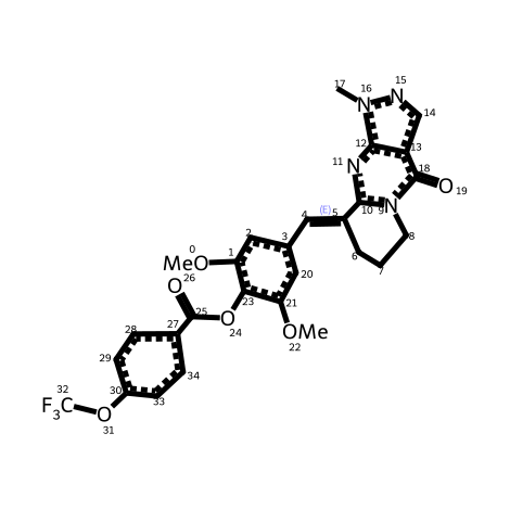 COc1cc(/C=C2\CCCn3c2nc2c(cnn2C)c3=O)cc(OC)c1OC(=O)c1ccc(OC(F)(F)F)cc1